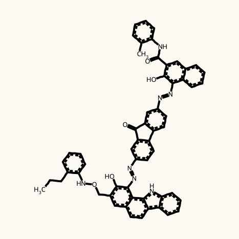 CCCc1ccccc1NOCc1cc2ccc3c4ccccc4[nH]c3c2c(N=Nc2ccc3c(c2)C(=O)c2cc(N=Nc4c(O)c(C(=O)Nc5ccccc5C)cc5ccccc45)ccc2-3)c1O